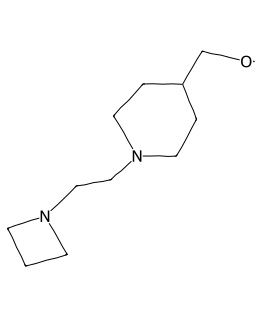 [O]CC1CCN(CCN2CCC2)CC1